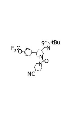 CC(C)(C)C1CSC(C2CC(c3ccc(OC(F)(F)F)cc3)CN(C(=O)N3CCC(C#N)CC3)C2)=N1